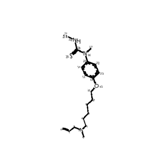 C=CCN(C)CCCCCCOc1ccc(N(C)C(=S)NCC)cc1